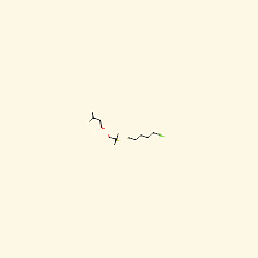 CC(C)CC(=O)OCC(C)(C)SCCCCCC(F)(F)F